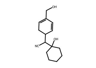 N#CC(C1C=CC(CO)=CC1)C1(O)CCCCC1